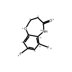 O=C1CCOc2cc(F)cc(F)c2N1